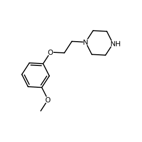 COc1cccc(OCCN2CCNCC2)c1